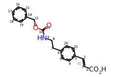 O=C(O)/C=C/c1ccc(CCNC(=O)OCc2ccccc2)cc1